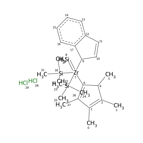 CC1=C(C)C(C)[C]([Zr](=[SiH2])([CH]2C=Cc3ccccc32)([Si](C)(C)C)[Si](C)(C)C)=C1C.Cl.Cl